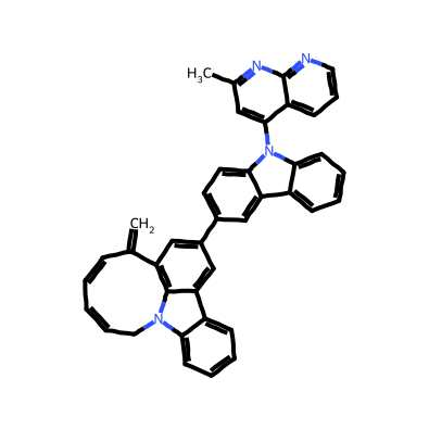 C=C1/C=C\C=C/Cn2c3ccccc3c3cc(-c4ccc5c(c4)c4ccccc4n5-c4cc(C)nc5ncccc45)cc1c32